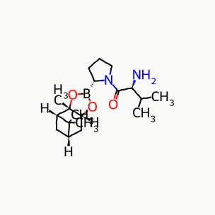 CC(C)[C@H](N)C(=O)N1CCC[C@H]1B1O[C@@H]2C[C@@H]3C[C@@H](C3(C)C)[C@]2(C)O1